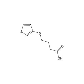 O=C(O)CCCSc1ccsc1